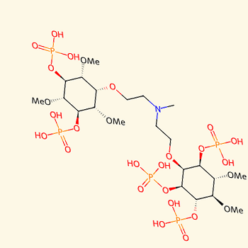 CO[C@@H]1[C@@H](OP(=O)(O)O)[C@H](OC)[C@H](OCCN(C)CCO[C@H]2[C@@H](OP(=O)(O)O)[C@H](OC)[C@@H](OC)[C@H](OP(=O)(O)O)[C@H]2OP(=O)(O)O)[C@H](OC)[C@H]1OP(=O)(O)O